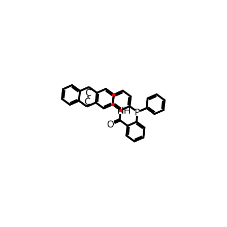 O=C(Nc1ccc2c(c1)C1CCC2c2ccccc21)c1ccccc1P(c1ccccc1)c1ccccc1